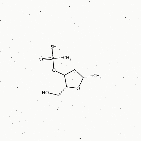 C[C@H]1CC(OP(C)(=O)S)[C@@H](CO)O1